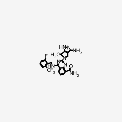 C[C@H]1c2[nH]nc(N)c2CN1c1nc(NCc2c(F)cccc2C(F)(F)F)c2cccc(C(N)=O)c2n1